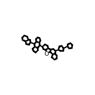 c1ccc(-c2ccc(-c3cc4c5ccc(-c6c7ccccc7c(-c7ccc8ccccc8c7)c7ccccc67)cc5oc4c4ccccc34)cc2)cc1